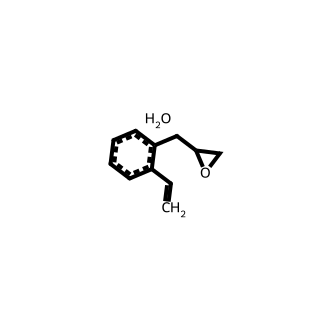 C=Cc1ccccc1CC1CO1.O